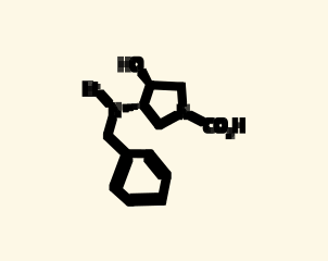 CCN(Cc1ccccc1)[C@H]1CN(C(=O)O)C[C@@H]1O